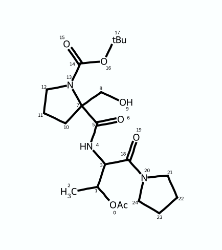 CC(=O)OC(C)C(NC(=O)C1(CO)CCCN1C(=O)OC(C)(C)C)C(=O)N1CCCC1